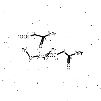 CC(C)[O][Zr+2][O]C(C)C.CCCC(=O)CC(=O)[O-].CCCC(=O)CC(=O)[O-]